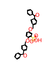 O=C(c1ccccc1)c1ccc(COc2ccc(OCc3ccc(C(=O)c4ccccc4)cc3)c(S(=O)(=O)O)c2)cc1